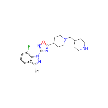 CC(C)c1nn(-c2noc(C3CCN(CC4CCNCC4)CC3)n2)c2c(F)cccc12